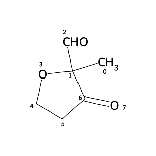 CC1(C=O)OCCC1=O